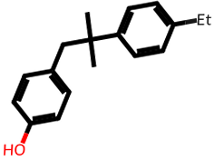 CCc1ccc(C(C)(C)Cc2ccc(O)cc2)cc1